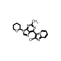 Cc1nc(-c2c(Cl)nc3ccccn23)c2ncn(C3CCCCO3)c2n1